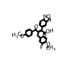 COc1ccc(C(=O)C(Cc2ccc(OC)c(F)c2)=C(C(=O)O)c2ccc3nonc3c2)cc1